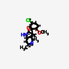 COc1ccc(Cl)cc1C1(C)C(=O)Nc2cc(C)ncc21